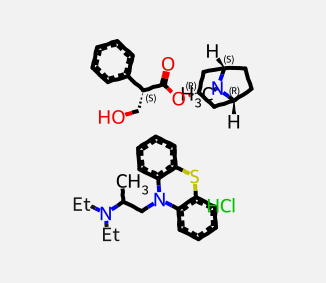 CCN(CC)C(C)CN1c2ccccc2Sc2ccccc21.CN1[C@@H]2CC[C@H]1C[C@@H](OC(=O)[C@H](CO)c1ccccc1)C2.Cl